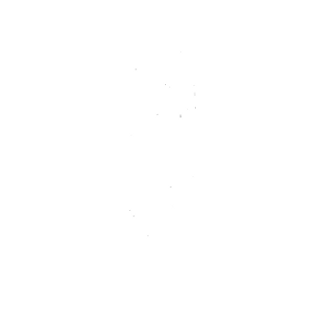 Cc1cc(N(C(C)C(=O)O)S(C)(=O)=O)ccc1-c1ccc(Oc2ccccc2)cc1